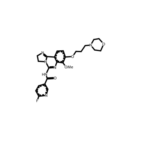 COc1c(OCCCN2CCOCC2)ccc2c1N=C(NC(=O)c1ccc(F)nc1)N1CCN=C21